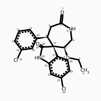 CCO[C@@H]1CNC(=O)C[C@H](c2cccc(Cl)c2)[C@@]12C(=O)Nc1cc(Cl)ccc12